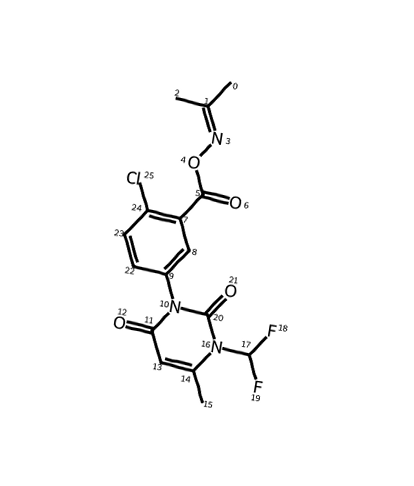 CC(C)=NOC(=O)c1cc(-n2c(=O)cc(C)n(C(F)F)c2=O)ccc1Cl